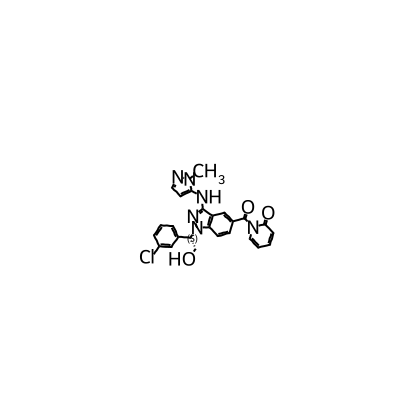 Cn1nccc1Nc1nn([C@H](CO)c2cccc(Cl)c2)c2ccc(C(=O)n3ccccc3=O)cc12